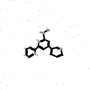 BrNc1cc(-c2cccnc2)cc(-c2ccccn2)n1